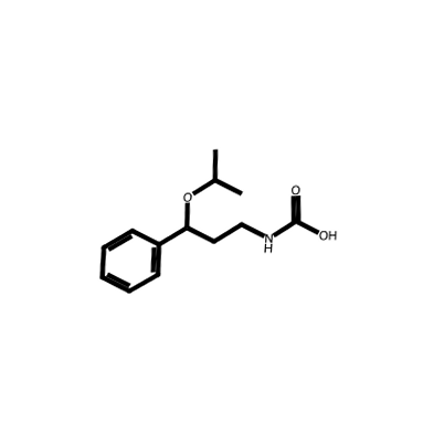 CC(C)OC(CCNC(=O)O)c1ccccc1